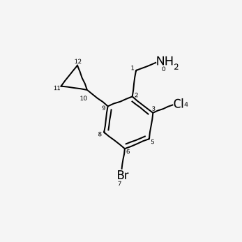 NCc1c(Cl)cc(Br)cc1C1CC1